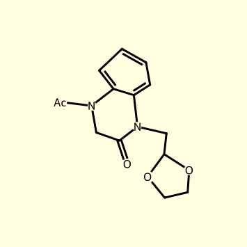 CC(=O)N1CC(=O)N(CC2OCCO2)c2ccccc21